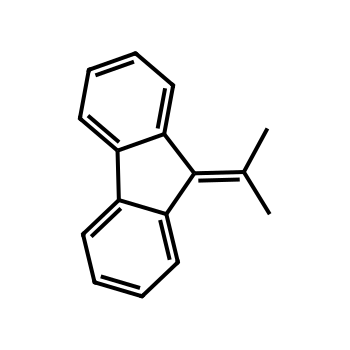 CC(C)=C1c2ccccc2-c2ccccc21